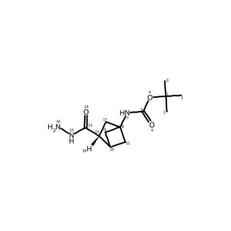 CC(C)(C)OC(=O)NC12CC(C1)[C@H](C(=O)NN)C2